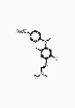 CCN(C)C=Nc1cc(C)c(N(C)c2ccc(OC)cc2)cc1Cl